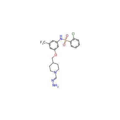 NN=CN1CCC(COc2cc(NS(=O)(=O)c3ccccc3Cl)cc(C(F)(F)F)c2)CC1